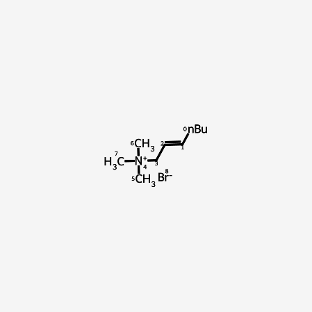 CCCC/C=C/C[N+](C)(C)C.[Br-]